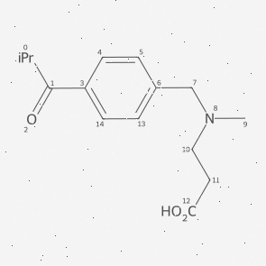 CC(C)C(=O)c1ccc(CN(C)CCC(=O)O)cc1